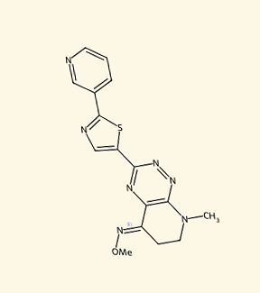 CO/N=C1\CCN(C)c2nnc(-c3cnc(-c4cccnc4)s3)nc21